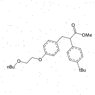 CCCCOCCOc1ccc(CC(C(=O)OC)c2ccc(C(C)(C)C)cc2)cc1